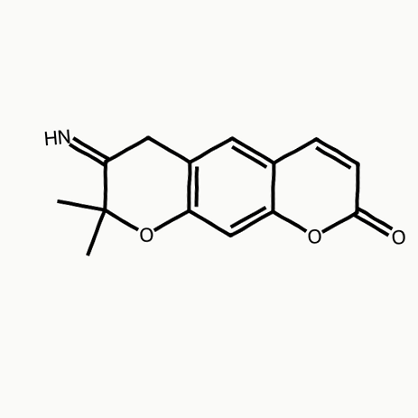 CC1(C)Oc2cc3oc(=O)ccc3cc2CC1=N